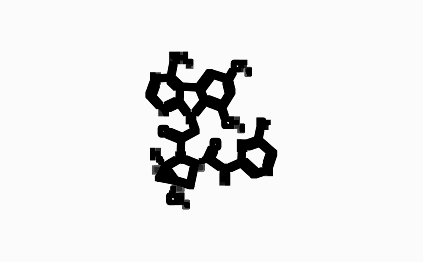 Cc1cc(C(F)(F)F)cc2c3c(N)ncnc3n(CC(=O)N3[C@H](C(=O)Nc4cncc(Br)n4)C[C@@]4(C)C[C@@H]34)c12